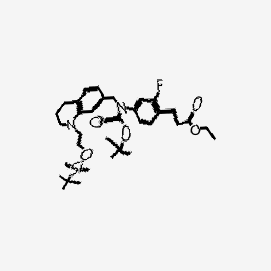 CCOC(=O)CCc1ccc(N(Cc2ccc3c(c2)N(CCO[Si](C)(C)C(C)(C)C)CCC3)C(=O)OC(C)(C)C)cc1F